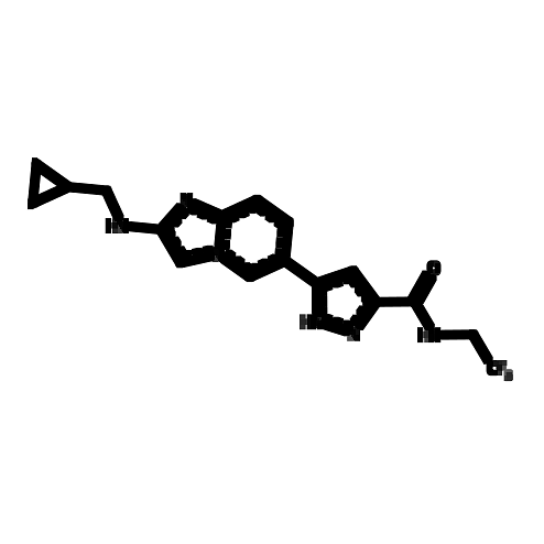 O=C(NCC(F)(F)F)c1cc(-c2ccc3nc(NCC4CC4)cn3c2)[nH]n1